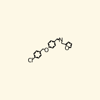 Clc1ccc(COc2ccc(/C=N\Cc3ccco3)cc2)cc1